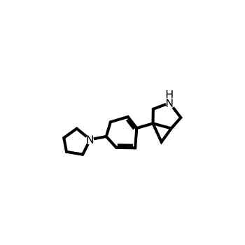 C1=CC(N2CCCC2)CC=C1C12CNCC1C2